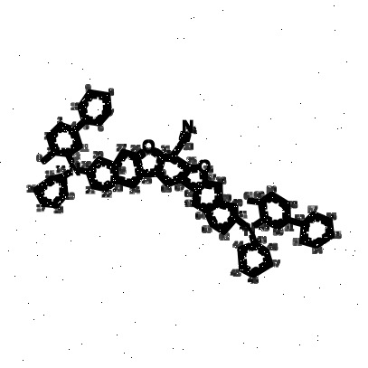 Cc1ccc(-c2ccccc2)cc1N(c1ccccc1)c1ccc2cc3c(cc2c1)oc1c(C#N)c2oc4cc5cc(N(c6ccccc6)c6cc(-c7ccccc7)ccc6C)ccc5cc4c2cc13